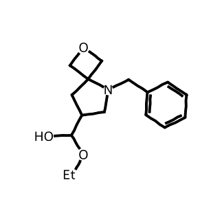 CCOC(O)C1CN(Cc2ccccc2)C2(COC2)C1